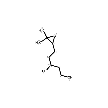 C[C@H](CCO)CCC1OC1(C)C